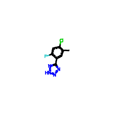 Cc1cc(-c2nn[nH]n2)c(F)cc1Cl